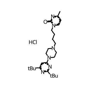 Cc1ccn(CCCCN2CCN(c3cc(C(C)(C)C)nc(C(C)(C)C)n3)CC2)c(=O)n1.Cl